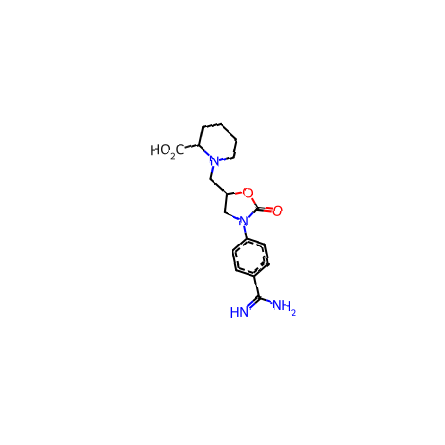 N=C(N)c1ccc(N2CC(CN3CCCCC3C(=O)O)OC2=O)cc1